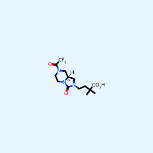 CC(C)(CCN1C[C@@H]2CN(C(=O)C(F)(F)F)CCN2C1=O)C(=O)O